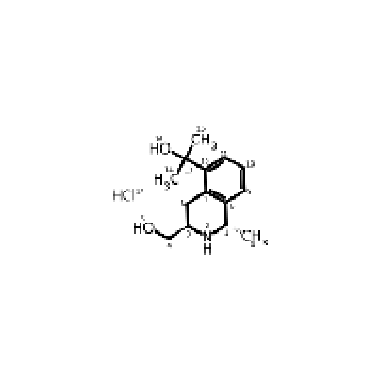 C[C@@H]1N[C@@H](CO)Cc2c1cccc2C(C)(C)O.Cl